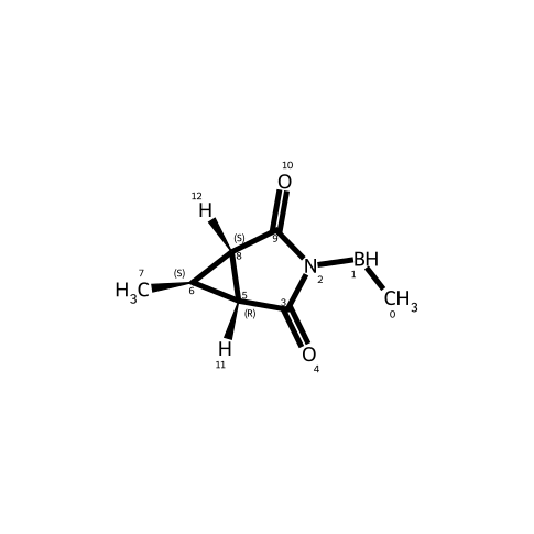 CBN1C(=O)[C@@H]2[C@@H](C)[C@@H]2C1=O